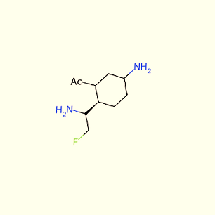 CC(=O)C1CC(N)CC[C@H]1C(N)CF